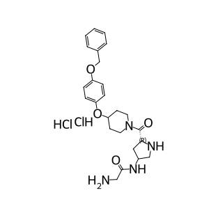 Cl.Cl.NCC(=O)NC1CN[C@@H](C(=O)N2CCC(Oc3ccc(OCc4ccccc4)cc3)CC2)C1